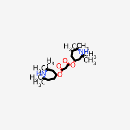 CC1(C)CCC(OC(=O)CC(=O)OC2CCC(C)(C)NC(C)(C)C2)CC(C)(C)N1